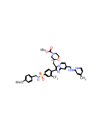 COc1ccc(CNS(=O)(=O)c2ccc(-c3nc4cc(CNc5cc(C)ccn5)ccn4c3C[C@H]3CN(C(=O)OC(C)(C)C)CCO3)c(C(F)(F)F)c2)cc1